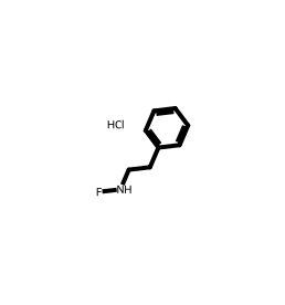 Cl.FNCCc1ccccc1